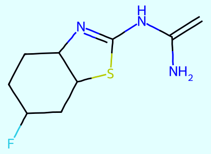 C=C(N)NC1=NC2CCC(F)CC2S1